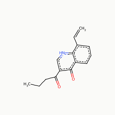 C=Cc1cccc2c(=O)c(C(=O)CCC)c[nH]c12